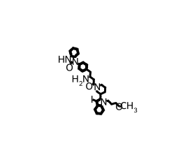 COCCCn1c(C2CCCN(C(=O)C[C@H](N)Cc3ccc(-n4c(=O)[nH]c5ccccc54)cc3)C2)c(I)c2ccccc21